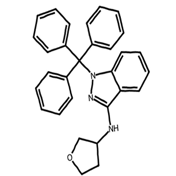 c1ccc(C(c2ccccc2)(c2ccccc2)n2nc(NC3CCOC3)c3ccccc32)cc1